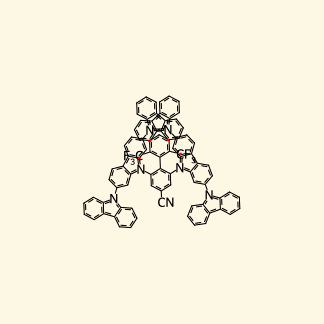 N#Cc1cc(-n2c3cc(-n4c5ccccc5c5ccccc54)ccc3c3ccc(-n4c5ccccc5c5ccccc54)cc32)c(-c2c(C(F)(F)F)cccc2C(F)(F)F)c(-n2c3cc(-n4c5ccccc5c5ccccc54)ccc3c3ccc(-n4c5ccccc5c5ccccc54)cc32)c1